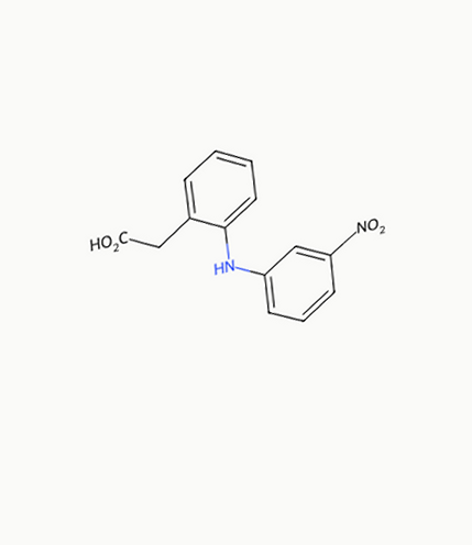 O=C(O)Cc1ccccc1Nc1cccc([N+](=O)[O-])c1